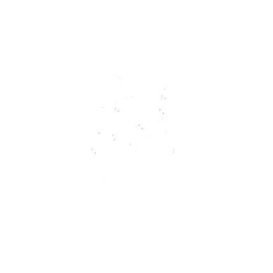 Cc1cc(Cl)cnc1C1(F)CCCN(C(=O)c2cn(C)nc2NC(=O)OC(C)(C)C)C1